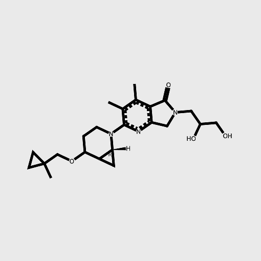 Cc1c(N2CCC(OCC3(C)CC3)C3C[C@H]32)nc2c(c1C)C(=O)N(CC(O)CO)C2